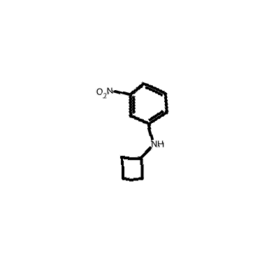 O=[N+]([O-])c1cccc(NC2CCC2)c1